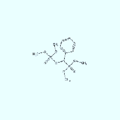 COP(=O)(OC)OC(c1ccccc1)P(=O)(OC)OC